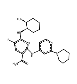 NC(=O)c1cc(F)c(N[C@@H]2CCCC[C@@H]2N)nc1Nc1ccnc(N2CCCCC2)c1